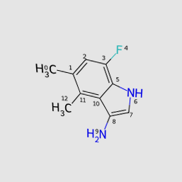 Cc1cc(F)c2[nH]cc(N)c2c1C